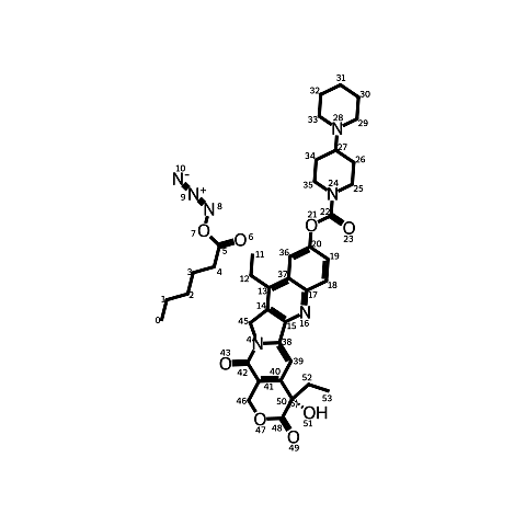 CCCCCC(=O)ON=[N+]=[N-].CCc1c2c(nc3ccc(OC(=O)N4CCC(N5CCCCC5)CC4)cc13)-c1cc3c(c(=O)n1C2)COC(=O)[C@]3(O)CC